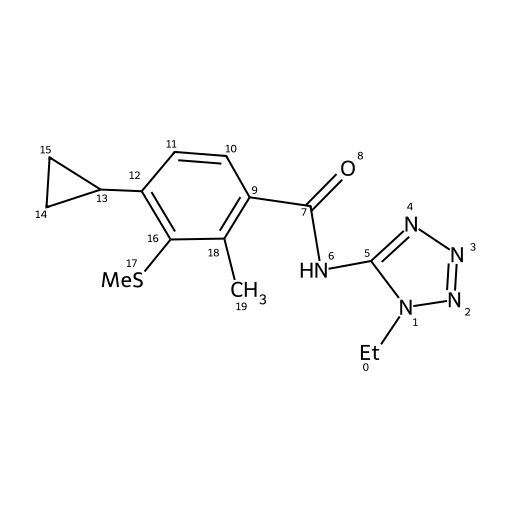 CCn1nnnc1NC(=O)c1ccc(C2CC2)c(SC)c1C